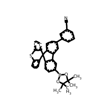 CC1(C)OB(c2ccc3c(c2)-c2cc(-c4cccc(C#N)c4)ccc2C32c3ccccc3Sc3ccccc32)OC1(C)C